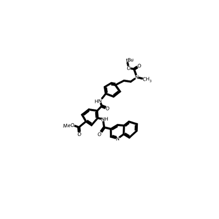 COC(=O)c1ccc(C(=O)Nc2ccc(CCN(C)C(=O)OC(C)(C)C)cc2)c(NC(=O)c2cnc3ccccc3c2)c1